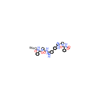 COC(=O)N[C@@H](C(=O)N1CCC[C@H]1C(=O)Nc1n[nH]c2ccc(-c3ccc(-c4cnc([C@@H]5CCCN5C(=O)[C@H](NC5OCO5)c5ccccc5)[nH]4)cc3)cc12)c1ccccc1